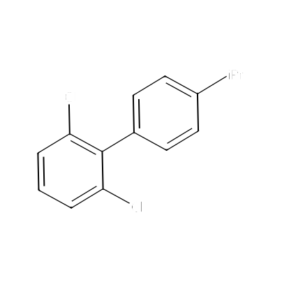 CC(C)c1ccc(-c2c(Cl)cccc2Cl)cc1